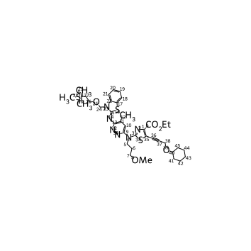 CCOC(=O)c1nc(N(CCCOC)c2cc(C)c(/N=c3\sc4ccccc4n3COCC[Si](C)(C)C)nn2)sc1C#CCOC1CCCCC1